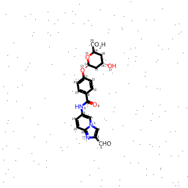 O=Cc1cn2cc(NC(=O)c3ccc(O[C@H]4C[C@@H](O)CC(C(=O)O)O4)cc3)ccc2n1